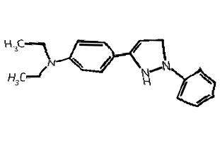 CCN(CC)c1ccc(C2=CCN(c3ccccc3)N2)cc1